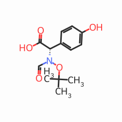 CC(C)(C)ON(C=O)[C@H](C(=O)O)c1ccc(O)cc1